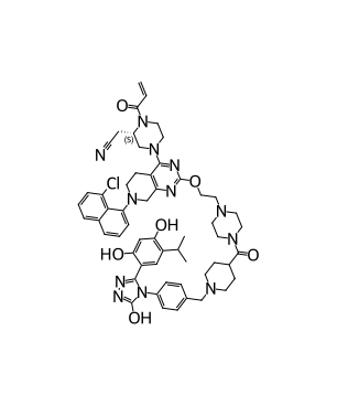 C=CC(=O)N1CCN(c2nc(OCCN3CCN(C(=O)C4CCN(Cc5ccc(-n6c(O)nnc6-c6cc(C(C)C)c(O)cc6O)cc5)CC4)CC3)nc3c2CCN(c2cccc4cccc(Cl)c24)C3)C[C@@H]1CC#N